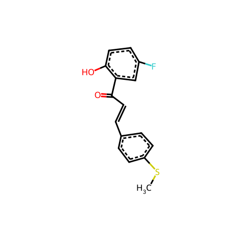 CSc1ccc(/C=C/C(=O)c2cc(F)ccc2O)cc1